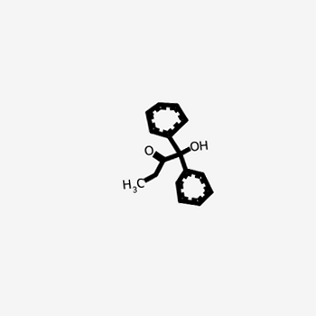 CCC(=O)C(O)(c1ccccc1)c1ccccc1